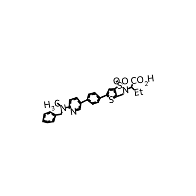 CCC(C(=O)O)N1Cc2sc(-c3ccc(-c4ccc(N(C)Cc5ccccc5)nc4)cc3)cc2S1(=O)=O